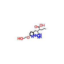 CCC[C@H](C(=O)O)[C@H](Cc1ccc(OCCO)nc1)c1nnn[nH]1